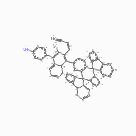 C#C/C=C\C1=C(c2ccc3c(c2)C2(C4=CC=CCC4c4ccccc42)c2ccccc2C32c3ccccc3-c3ccccc32)C2CC=CC=C2C(c2ccc(N)cc2)=C1C